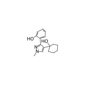 Cn1cc(C2(O)CCCCC2)c(-c2ccccc2O)n1